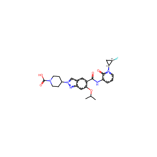 CC(C)Oc1cc2nn(C3CCN(C(=O)O)CC3)cc2cc1C(=O)Nc1cccn([C@H]2C[C@H]2F)c1=O